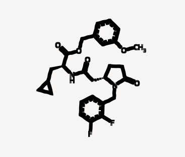 COc1cccc(COC(=O)[C@H](CC2CC2)NC(=O)C[C@@H]2CCC(=O)N2Cc2cccc(F)c2F)c1